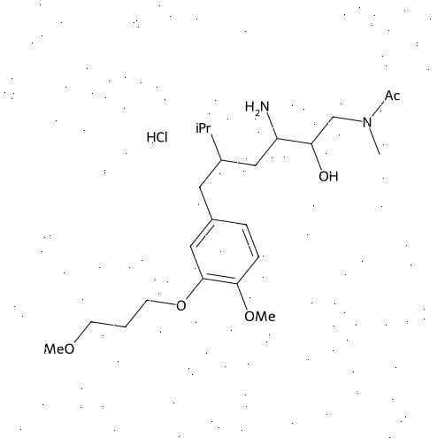 COCCCOc1cc(CC(CC(N)C(O)CN(C)C(C)=O)C(C)C)ccc1OC.Cl